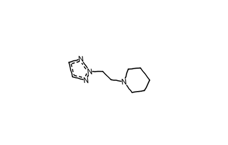 c1cnn(CCN2CCCCC2)n1